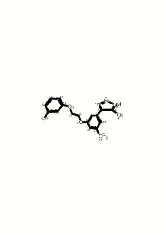 N#Cc1[nH]nnc1-c1cc(OCCOc2cccc(Cl)c2)cc(C(F)(F)F)c1